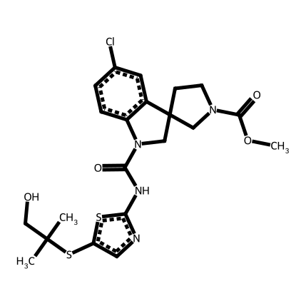 COC(=O)N1CCC2(C1)CN(C(=O)Nc1ncc(SC(C)(C)CO)s1)c1ccc(Cl)cc12